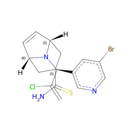 C=C(Cl)CN1[C@@H]2C=C[C@H]1C[C@](C(N)=S)(c1cncc(Br)c1)C2